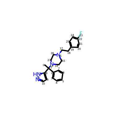 CC(c1ccccc1)(c1ccn[nH]1)N1CCN(CCc2ccc(F)cc2)CC1